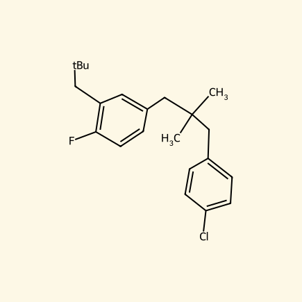 CC(C)(C)Cc1cc(CC(C)(C)Cc2ccc(Cl)cc2)ccc1F